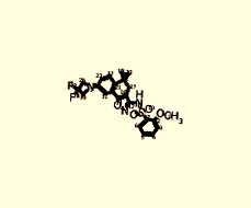 COc1ccccc1S(=O)(=O)Nc1noc2c1CC1(CC1)c1ccc(N3CC(F)(F)C3)cc1-2